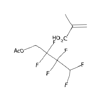 C=C(C)C(=O)O.CC(=O)OCC(F)(F)C(F)(F)C(F)F